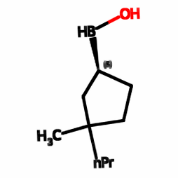 CCCC1(C)CC[C@H](BO)C1